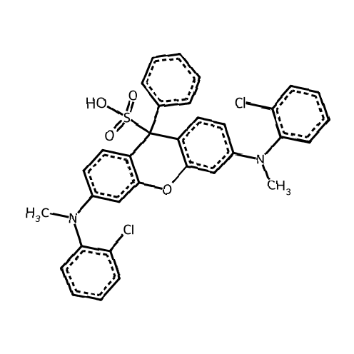 CN(c1ccc2c(c1)Oc1cc(N(C)c3ccccc3Cl)ccc1C2(c1ccccc1)S(=O)(=O)O)c1ccccc1Cl